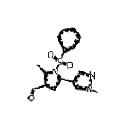 Cc1c(C=O)cc(-c2cnn(C)c2)n1S(=O)(=O)c1ccccc1